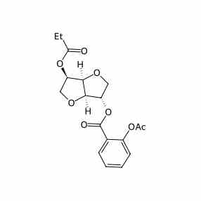 CCC(=O)O[C@@H]1CO[C@H]2[C@@H]1OC[C@@H]2OC(=O)c1ccccc1OC(C)=O